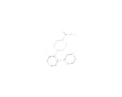 NC(=O)C1CCN(c2c(Cl)cncc2-c2cccnc2)CC1